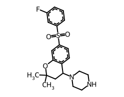 CC1(C)CC(N2CCNCC2)c2ccc(S(=O)(=O)c3cccc(F)c3)cc2O1